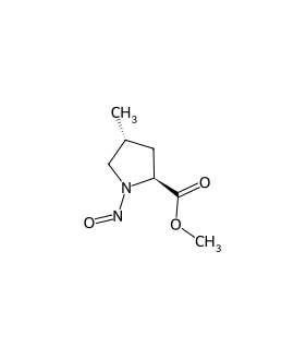 COC(=O)[C@@H]1C[C@@H](C)CN1N=O